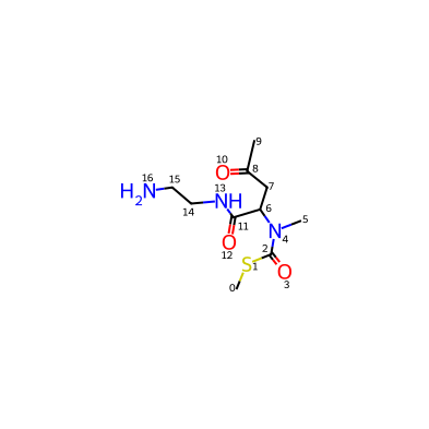 CSC(=O)N(C)C(CC(C)=O)C(=O)NCCN